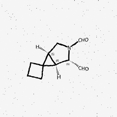 O=C[C@@H]1[C@@H]2[C@H](CN1C=O)C21CCC1